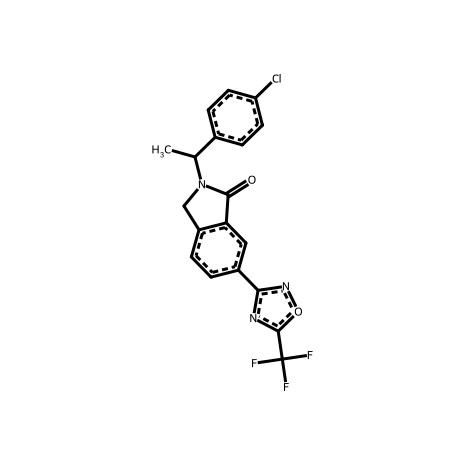 CC(c1ccc(Cl)cc1)N1Cc2ccc(-c3noc(C(F)(F)F)n3)cc2C1=O